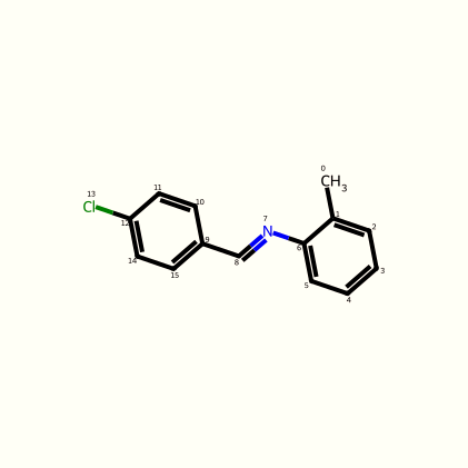 Cc1ccccc1N=Cc1ccc(Cl)cc1